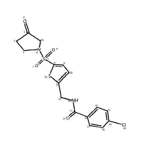 O=C1CCN(S(=O)(=O)c2ccc(CNC(=O)c3ccc(Cl)cc3)s2)C1